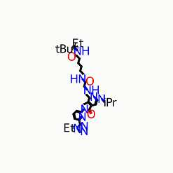 CC[C@@H](NC(=O)CCCCCNC(=O)CNCc1nc(N(C)C(C)C)cc2c1CN(c1cccc(-c3nncn3CC)n1)C2=O)C(C)(C)C